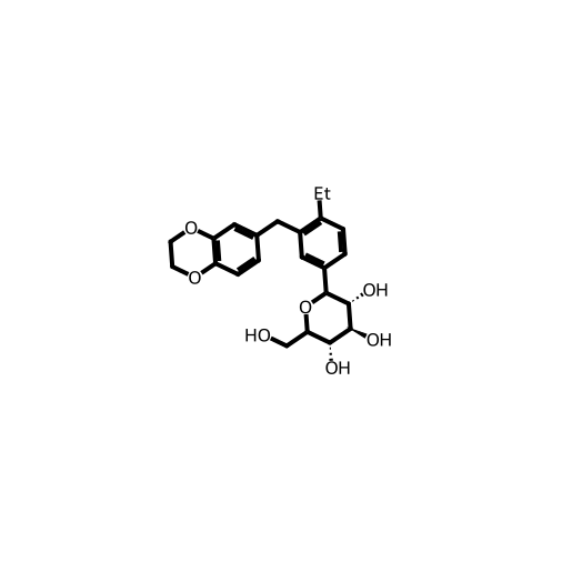 CCc1ccc(C2OC(CO)[C@@H](O)[C@H](O)[C@H]2O)cc1Cc1ccc2c(c1)OCCO2